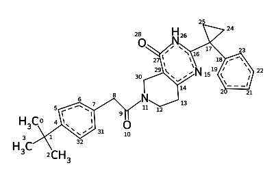 CC(C)(C)c1ccc(CC(=O)N2CCc3nc(C4(c5ccccc5)CC4)[nH]c(=O)c3C2)cc1